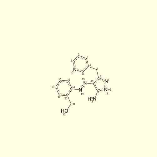 Nc1[nH]nc(Cc2cccnc2)c1N=Nc1ccccc1CO